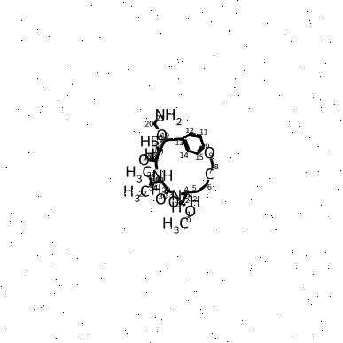 COC(=O)[C@@H]1CCCCOc2ccc(cc2)C[C@H](BOCN)C(=O)N[C@@H](C(C)C)C(=O)N1